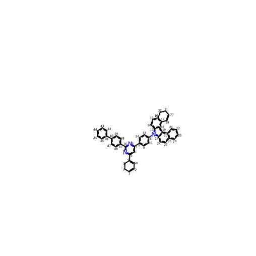 C1=CCCC(c2cc(-c3ccc(-n4c5ccc6c(c5c5c7ccccc7ccc54)C=CCC6)cc3)nc(-c3ccc(-c4ccccc4)cc3)n2)=C1